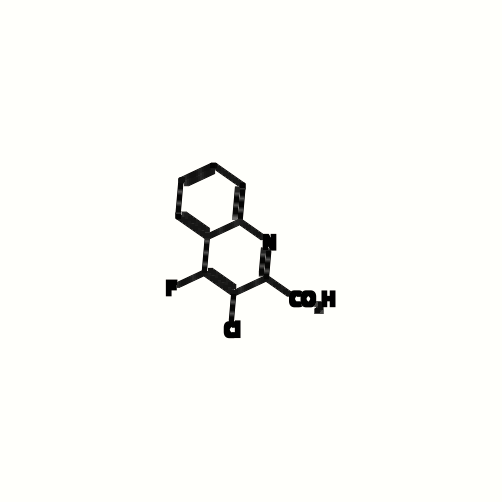 O=C(O)c1nc2ccccc2c(F)c1Cl